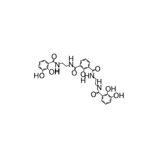 O=C(NCCNC(=O)c1cccc(C(=O)NCCNC(=O)c2cccc(O)c2O)c1O)c1cccc(O)c1O